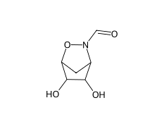 O=CN1OC2CC1C(O)C2O